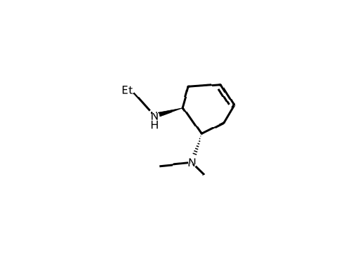 CCN[C@H]1CC=CC[C@@H]1N(C)C